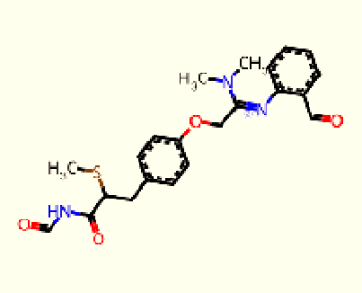 CSC(Cc1ccc(OC/C(=N/c2ccccc2C=O)N(C)C)cc1)C(=O)NC=O